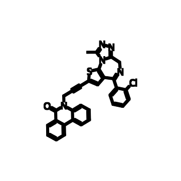 Cc1nnc2n1-c1sc(C#CCn3c(=O)c4ccccc4c4ccccc43)cc1C(c1ccccc1Cl)=NC2